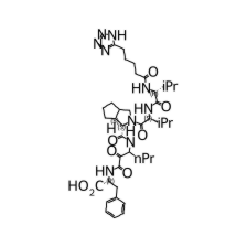 CCCC(NC(=O)[C@@H]1[C@H]2CCCC2CN1C(=O)[C@@H](NC(=O)[C@H](NC(=O)CCCCc1nnn[nH]1)C(C)C)C(C)C)C(=O)C(=O)N[C@H](Cc1ccccc1)C(=O)O